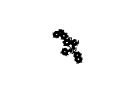 c1ccc(-c2nc(-c3ccc4ccccc4c3)nc(-c3cncc4oc5c(-c6ccc7ccc8ccccc8c7c6)cccc5c34)n2)cc1